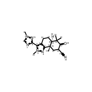 Cn1cnc(-c2c3c(nn2C)[C@@]2(C)CC(C#N)C(=O)C(C)(C)[C@@H]2CC3)n1